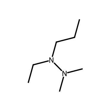 CCCN(CC)N(C)C